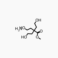 COC(=O)C(CCO)(CCO)CCO.N